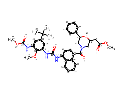 COC(=O)CC1CN(C(=O)c2ccc(NC(=O)Nc3cc(C(C)(C)C)cc(NC(=O)OC)c3OC)c3ccccc23)CC(c2ccccc2)O1